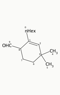 CCCCCCC1=CC(C)(C)CCC1C=O